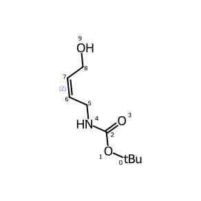 CC(C)(C)OC(=O)NC/C=C\CO